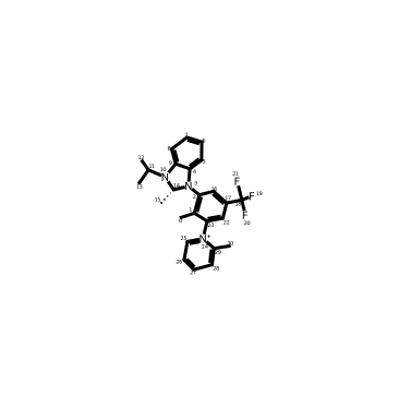 Cc1c(N2c3ccccc3N(C(C)C)[C@H]2C)cc(C(F)(F)F)cc1-[n+]1ccccc1C